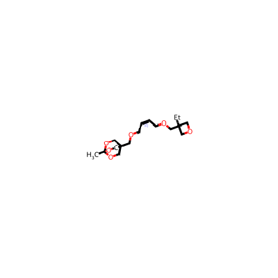 CCC1(COC/C=C\COCC23COC(C)(OC2)OC3)COC1